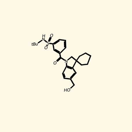 CC(C)(C)NS(=O)(=O)c1cccc(C(=O)N2CC3(CCCCC3)c3cc(CO)ccc32)c1